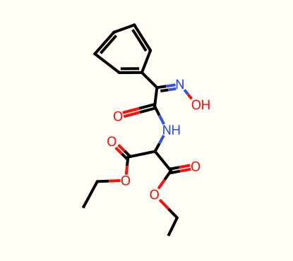 CCOC(=O)C(NC(=O)C(=NO)c1ccccc1)C(=O)OCC